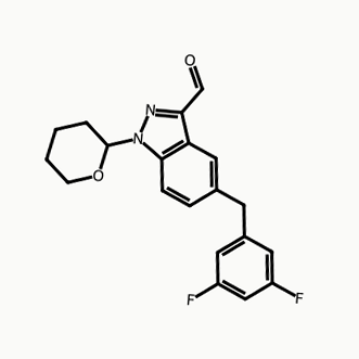 O=Cc1nn(C2CCCCO2)c2ccc(Cc3cc(F)cc(F)c3)cc12